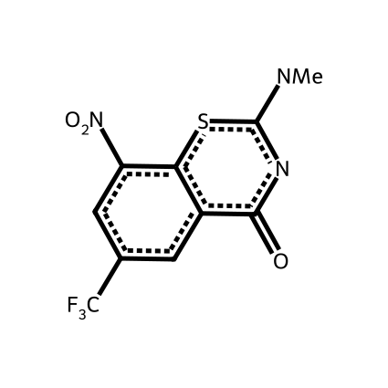 CNc1nc(=O)c2cc(C(F)(F)F)cc([N+](=O)[O-])c2s1